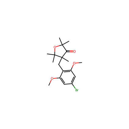 COc1cc(Br)cc(OC)c1CC1(C)C(=O)C(C)(C)OC1(C)C